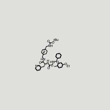 CCOc1ccc(C[C@@H](NC(=O)c2ccccc2)C(=O)N[C@@H](Cc2cccnc2)C(=O)NCC23CCC(CNC(=O)OC(C)(C)C)(CC2)CC3)cc1